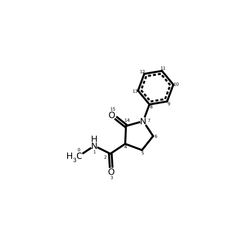 CNC(=O)C1CCN(c2ccccc2)C1=O